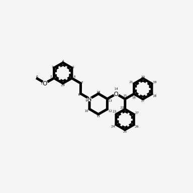 COc1cccc(CCN2CCCC(OC(c3ccccc3)c3ccccc3)C2)c1